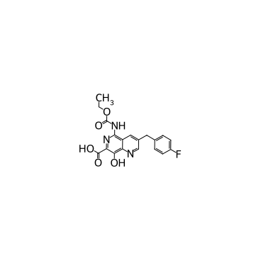 CCOC(=O)Nc1nc(C(=O)O)c(O)c2ncc(Cc3ccc(F)cc3)cc12